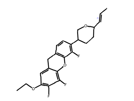 C/C=C/C1CCC(c2ccc3c(c2F)Oc2c(cc(OCC)c(F)c2F)C3)CO1